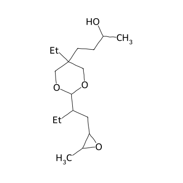 CCC(CC1OC1C)C1OCC(CC)(CCC(C)O)CO1